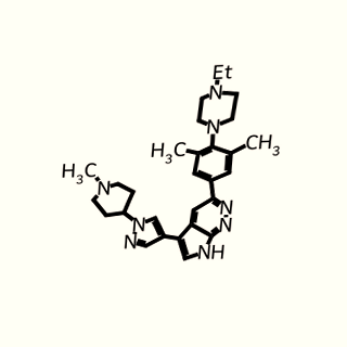 CCN1CCN(c2c(C)cc(-c3cc4c(-c5cnn(C6CCN(C)CC6)c5)c[nH]c4nn3)cc2C)CC1